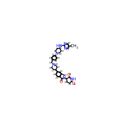 Cc1cnc(NC2CCN(c3ccc(CN4CCC(c5ccc6c(c5)CN(C5CCC(=O)NC5=O)C6=O)CC4)cc3)CC2)nc1